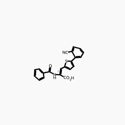 N#Cc1ccccc1-c1ccc(/C=C(/NC(=O)c2ccccc2)C(=O)O)s1